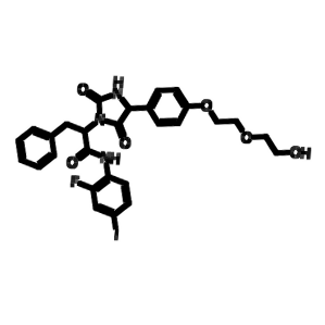 O=C(Nc1ccc(I)cc1F)C(Cc1ccccc1)N1C(=O)NC(c2ccc(OCCOCCO)cc2)C1=O